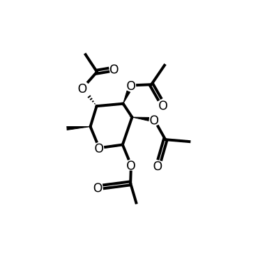 CC(=O)OC1O[C@@H](C)[C@H](OC(C)=O)[C@@H](OC(C)=O)[C@H]1OC(C)=O